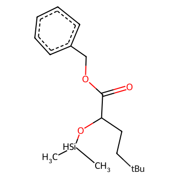 C[SiH](C)OC(CCC(C)(C)C)C(=O)OCc1ccccc1